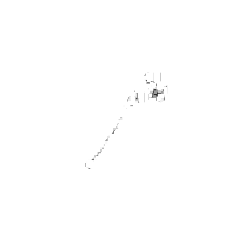 [CH2][C@H](CCCCOCCCCCCCCCCCCCCCC)OCP(=O)(O)O